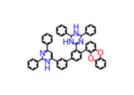 C1=C(c2cccc(-c3ccc(-c4cccc5c4Oc4ccccc4O5)c(C4=NC(c5ccccc5)NC(c5ccccc5)N4)c3)c2)NC(c2ccccc2)N=C1c1ccccc1